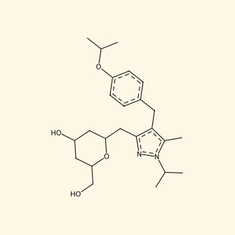 Cc1c(Cc2ccc(OC(C)C)cc2)c(CC2CC(O)CC(CO)O2)nn1C(C)C